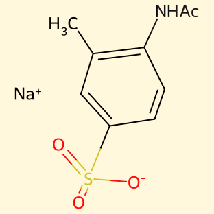 CC(=O)Nc1ccc(S(=O)(=O)[O-])cc1C.[Na+]